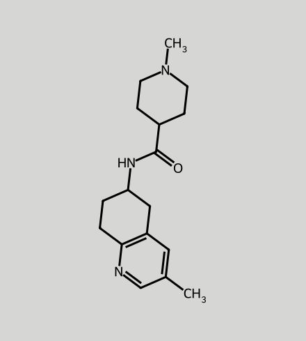 Cc1cnc2c(c1)CC(NC(=O)C1CCN(C)CC1)CC2